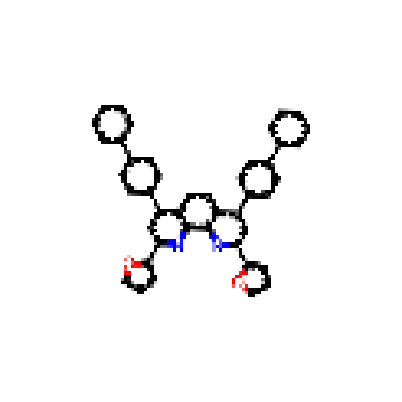 c1ccc(-c2ccc(-c3cc(-c4ccco4)nc4c3ccc3c(-c5ccc(-c6ccccc6)cc5)cc(-c5ccco5)nc34)cc2)cc1